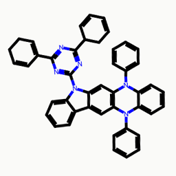 C1=CCC(c2nc(C3=CCCC=C3)nc(-n3c4ccccc4c4cc5c(cc43)N(c3ccccc3)c3ccccc3N5c3ccccc3)n2)C=C1